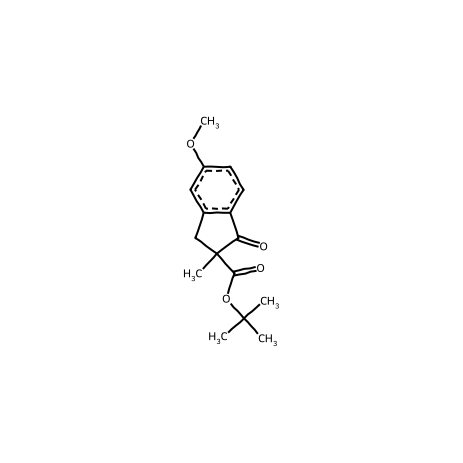 COc1ccc2c(c1)CC(C)(C(=O)OC(C)(C)C)C2=O